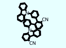 N#Cc1cccc(-c2ccccc2-n2c3ccccc3c3c(C#N)cccc32)c1-c1cccc(-n2c3ccccc3c3ccccc32)c1